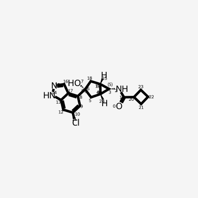 O=C(N[C@@H]1[C@@H]2C[C@@](O)(c3cc(Cl)cc4[nH]ncc34)C[C@@H]21)C1CCC1